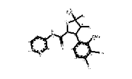 COc1c(C2C(C(=O)Nc3ccnnc3)OC(C)(C(F)(F)F)C2C)ccc(F)c1F